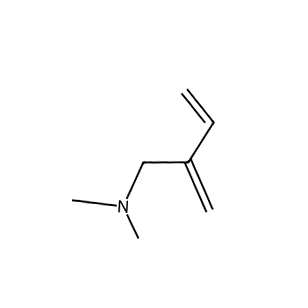 C=CC(=C)CN(C)C